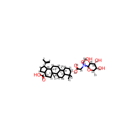 C=C(C)[C@@H]1CC[C@]2(C(=O)O)CC[C@]3(C)C(CCC4[C@@]5(C)CC[C@H](OC(=O)CN(OC)C6O[C@@H](C)[C@@H](O)[C@@H](O)[C@@H]6O)C(C)(C)C5CC[C@]43C)C12